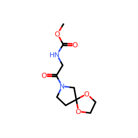 COC(=O)NCC(=O)N1CCC2(C1)OCCO2